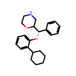 c1ccc([C@H](Oc2ccccc2C2CCCCC2)C2CNCCO2)cc1